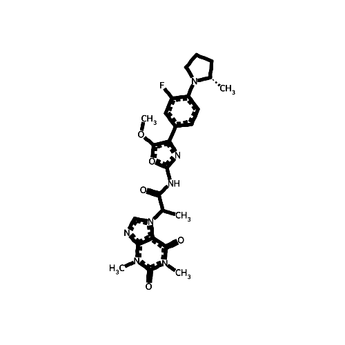 COc1oc(NC(=O)C(C)n2cnc3c2c(=O)n(C)c(=O)n3C)nc1-c1ccc(N2CCC[C@@H]2C)c(F)c1